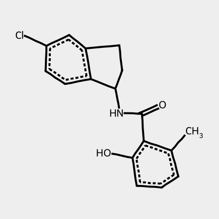 Cc1cccc(O)c1C(=O)NC1CCc2cc(Cl)ccc21